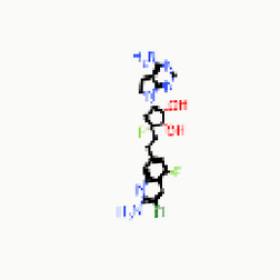 Nc1nc2cc(CC[C@@]3(F)C[C@@H](n4ccc5c(N)ncnc54)[C@H](O)[C@@H]3O)cc(F)c2cc1Cl